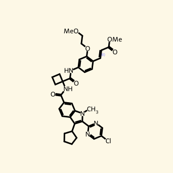 COCCOc1cc(NC(=O)C2(NC(=O)c3ccc4c(C5CCCC5)c(-c5ncc(Cl)cn5)n(C)c4c3)CCC2)ccc1/C=C/C(=O)OC